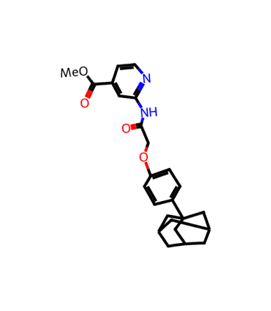 COC(=O)c1ccnc(NC(=O)COc2ccc(C34CC5CC(CC(C5)C3)C4)cc2)c1